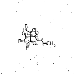 C=CCCC(=O)C(C(=O)CF)(C(=O)CF)C(=O)CF